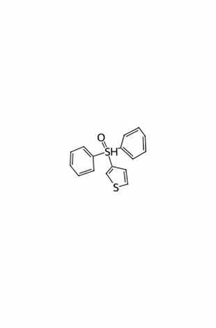 O=[SH](c1ccccc1)(c1ccccc1)c1ccsc1